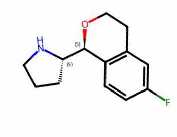 Fc1ccc2c(c1)CCO[C@@H]2[C@@H]1CCCN1